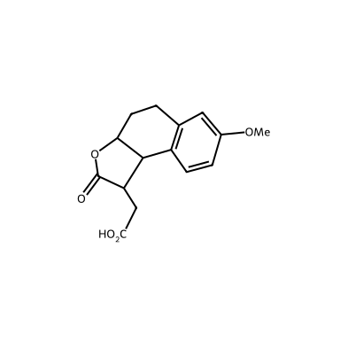 COc1ccc2c(c1)CCC1OC(=O)C(CC(=O)O)C21